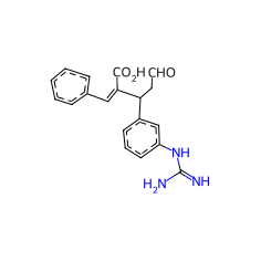 N=C(N)Nc1cccc(C(CC=O)C(=Cc2ccccc2)C(=O)O)c1